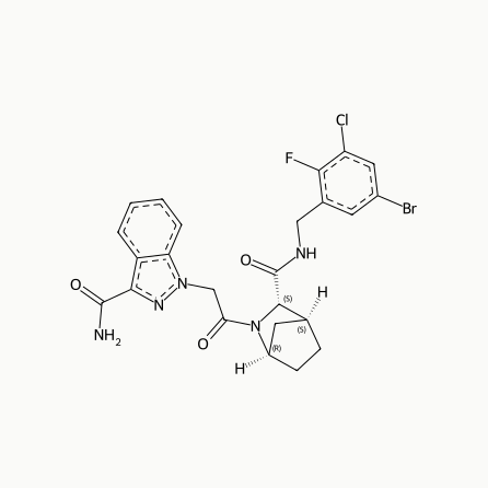 NC(=O)c1nn(CC(=O)N2[C@@H]3CC[C@@H](C3)[C@H]2C(=O)NCc2cc(Br)cc(Cl)c2F)c2ccccc12